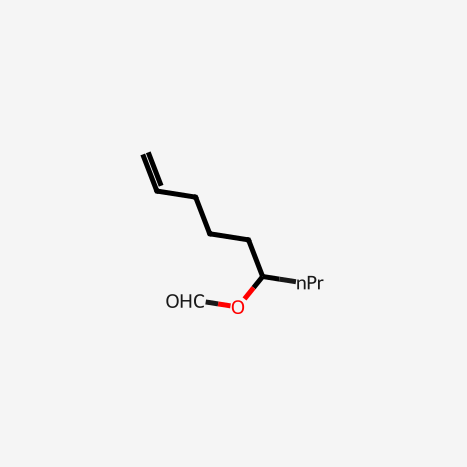 C=CCCCC(CCC)OC=O